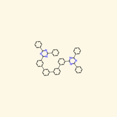 c1ccc(-c2nc(-c3ccccc3)nc(-c3cccc(-c4cccc(-c5cccc(-c6cccc(-c7nc(-c8ccccc8)nc(-c8ccccc8)n7)c6)c5)c4)c3)n2)cc1